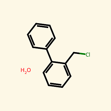 ClCc1ccccc1-c1ccccc1.O